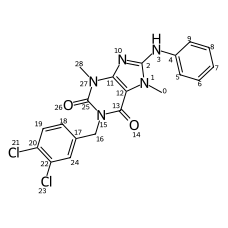 Cn1c(Nc2ccccc2)nc2c1c(=O)n(Cc1ccc(Cl)c(Cl)c1)c(=O)n2C